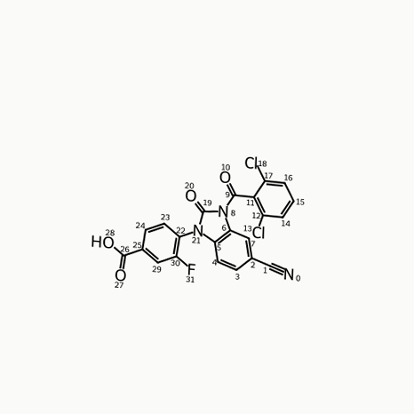 N#Cc1ccc2c(c1)n(C(=O)c1c(Cl)cccc1Cl)c(=O)n2-c1ccc(C(=O)O)cc1F